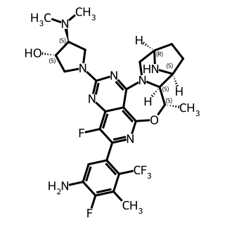 Cc1c(F)c(N)cc(-c2nc3c4c(nc(N5C[C@H](O)[C@@H](N(C)C)C5)nc4c2F)N2C[C@H]4CC[C@H](N4)[C@H]2[C@H](C)O3)c1C(F)(F)F